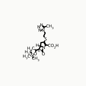 Cc1nnnn1CCSC1=C(C(=O)O)N2C(=O)[C@@H]([C@H](C)O[Si](C)(C)C)[C@H]2C1